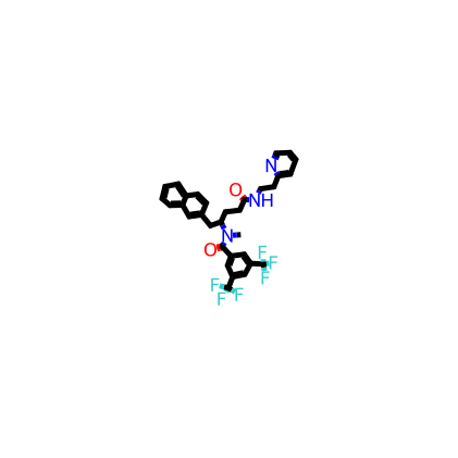 CN(C(=O)c1cc(C(F)(F)F)cc(C(F)(F)F)c1)C(CCC(=O)NCCc1ccccn1)Cc1ccc2ccccc2c1